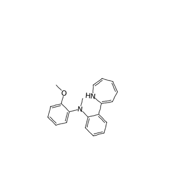 COc1ccccc1N(C)c1ccccc1C1=CC=CC=CN1